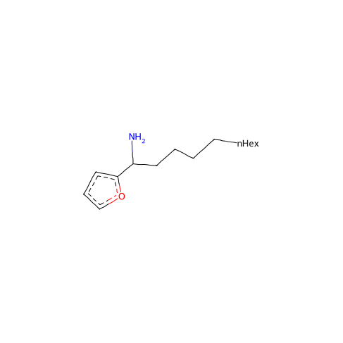 CCCCCCCCCCC(N)c1ccco1